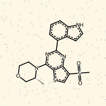 C[C@@H]1COCCN1c1nc(-c2cccc3[nH]ccc23)nc2c(S(C)(=O)=O)csc12